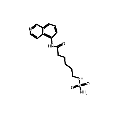 NS(=O)(=O)NCCCCCC(=O)Nc1cccc2cnccc12